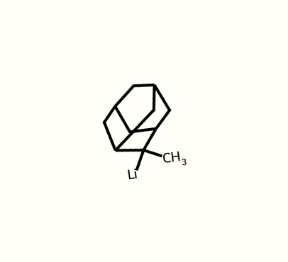 [Li][C]1(C)C2CC3CC(C2)CC1C3